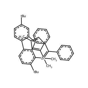 CC1=CC[C]([Zr]([CH3])([CH3])(=[C](c2ccccc2)c2ccccc2)[c]2c(C(C)(C)C)ccc3c2Cc2cc(C(C)(C)C)ccc2-3)=C1